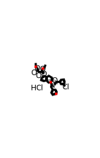 CCOC(=O)C(Oc1ccc2c(c1)CCCC(N(Cc1ccccc1)C[C@H](O)c1cccc(Cl)c1)C2)C(=O)OCC.Cl